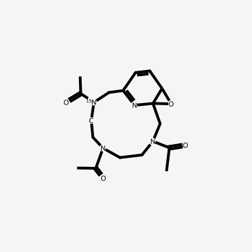 CC(=O)N1CCN(C(C)=O)CC23N=C(C=CC2O3)C[15N](C(C)=O)CC1